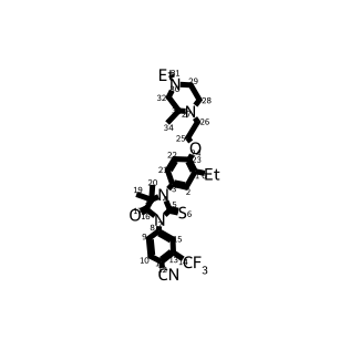 CCc1cc(N2C(=S)N(c3ccc(C#N)c(C(F)(F)F)c3)C(=O)C2(C)C)ccc1OCCN1CCN(CC)CC1C